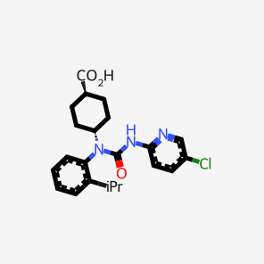 CC(C)c1ccccc1N(C(=O)Nc1ccc(Cl)cn1)[C@H]1CC[C@H](C(=O)O)CC1